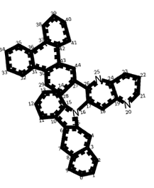 c1ccc2cc3c(cc2c1)c1ccccc1n3-c1cc2ncccc2nc1-c1ccc2c3ccccc3c3ccccc3c2c1